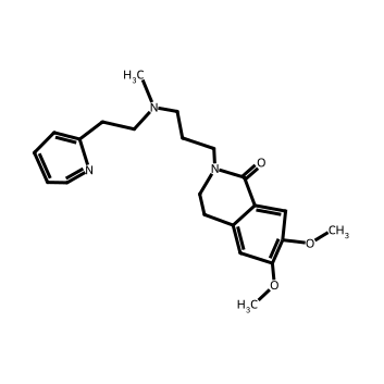 COc1cc2c(cc1OC)C(=O)N(CCCN(C)CCc1ccccn1)CC2